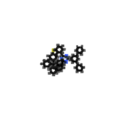 c1ccc(-c2cc(-c3ccccc3)cc(-c3nc(-c4ccccc4)nc(-c4cccc5sc6ccc(C7(c8ccccc8)c8ccccc8-c8ccccc87)cc6c45)n3)c2)cc1